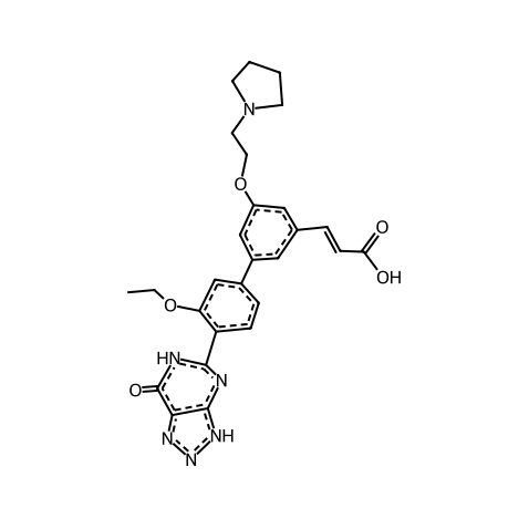 CCOc1cc(-c2cc(C=CC(=O)O)cc(OCCN3CCCC3)c2)ccc1-c1nc2[nH]nnc2c(=O)[nH]1